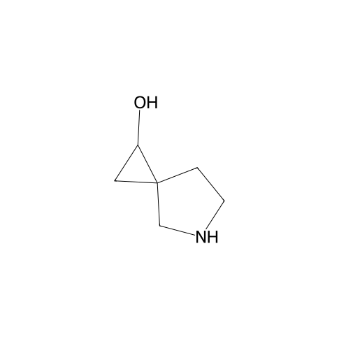 OC1CC12CCNC2